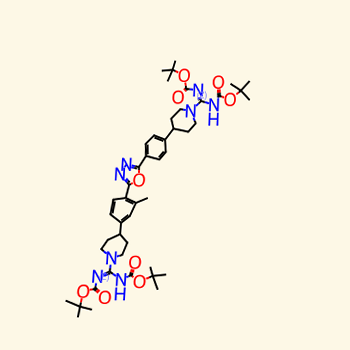 Cc1cc(C2CCN(/C(=N/C(=O)OC(C)(C)C)NC(=O)OC(C)(C)C)CC2)ccc1-c1nnc(-c2ccc(C3CCN(/C(=N\C(=O)OC(C)(C)C)NC(=O)OC(C)(C)C)CC3)cc2)o1